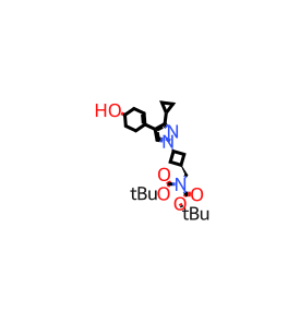 CC(C)(C)OC(=O)N(C[C@H]1C[C@H](n2cc(C3=CCC(O)CC3)c(C3CC3)n2)C1)C(=O)OC(C)(C)C